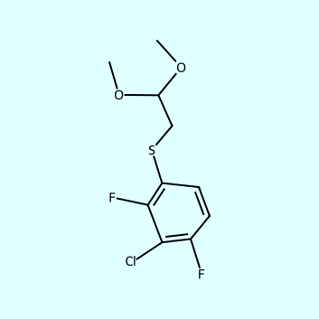 COC(CSc1ccc(F)c(Cl)c1F)OC